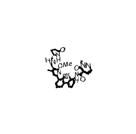 COc1nc(-c2cccc(-c3cccc(NC(=O)c4ccnn(C)c4=O)c3Cl)c2Cl)cc(C)c1CNC[C@@H]1CCC(=O)N1